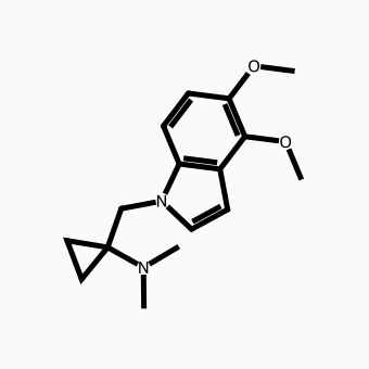 COc1ccc2c(ccn2CC2(N(C)C)CC2)c1OC